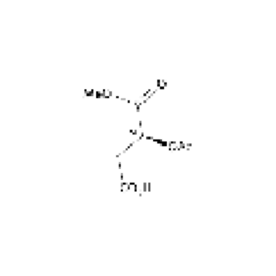 COC(=O)[C@H](CC(=O)O)OC(C)=O